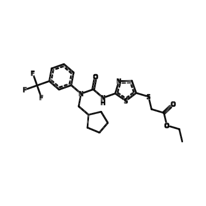 CCOC(=O)CSc1cnc(NC(=O)N(CC2CCCC2)c2cccc(C(F)(F)F)c2)s1